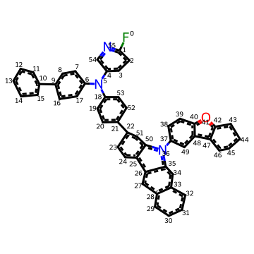 Fc1ccc(N(c2ccc(-c3ccccc3)cc2)c2ccc(-c3ccc4c5cc6ccccc6cc5n(-c5ccc6oc7ccccc7c6c5)c4c3)cc2)cn1